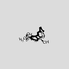 C#CN1C(=O)C(=Cc2ccc[nH]2)c2cc([Si](C)(C)C)ccc21